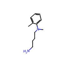 Cc1ccccc1N(C)CCCCN